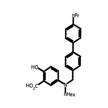 CCCCCCN(Cc1ccc(-c2ccc(CCC)cc2)cc1)c1ccc(O)c(C(=O)O)c1